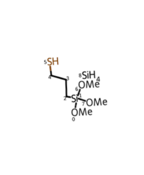 CO[Si](CCCS)(OC)OC.[SiH4]